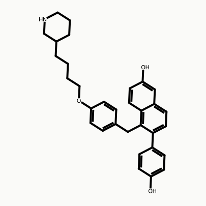 Oc1ccc(-c2ccc3cc(O)ccc3c2Cc2ccc(OCCCCC3CCCNC3)cc2)cc1